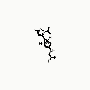 CC(C)n1nc(I)cc1C1[C@H]2CC(NCC(F)F)C[C@@H]12